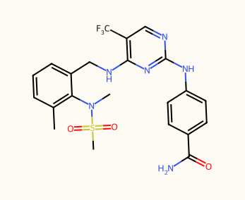 Cc1cccc(CNc2nc(Nc3ccc(C(N)=O)cc3)ncc2C(F)(F)F)c1N(C)S(C)(=O)=O